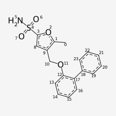 Cc1oc(S(N)(=O)=O)cc1COc1ccccc1-c1ccccc1